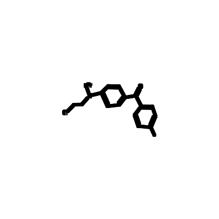 CCCN(CCCl)c1ccc(C(=O)c2ccc(C)cc2)cc1